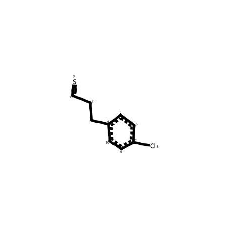 S=[C]CCc1ccc(Cl)cc1